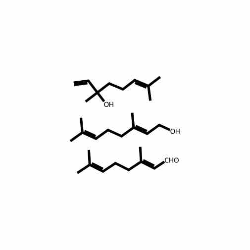 C=CC(C)(O)CCC=C(C)C.CC(C)=CCC/C(C)=C/C=O.CC(C)=CCC/C(C)=C/CO